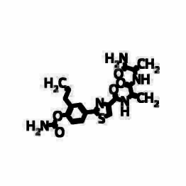 C=CCc1cc(-c2nc(C(=O)NC(=C)C(=O)NC(=C)C(N)=O)cs2)ccc1OC(N)=O